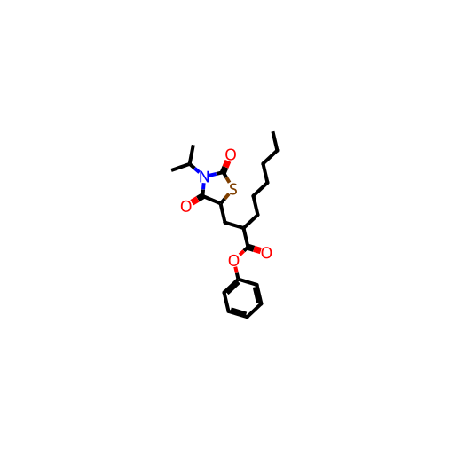 CCCCCCC(CC1SC(=O)N(C(C)C)C1=O)C(=O)Oc1ccccc1